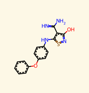 N=C(N)c1c(O)nsc1Nc1ccc(Oc2ccccc2)cc1